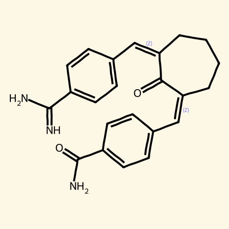 N=C(N)c1ccc(/C=C2/CCCC/C(=C/c3ccc(C(N)=O)cc3)C2=O)cc1